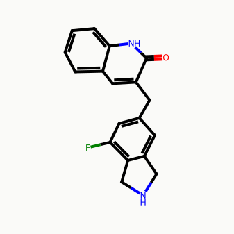 O=c1[nH]c2ccccc2cc1Cc1cc(F)c2c(c1)CNC2